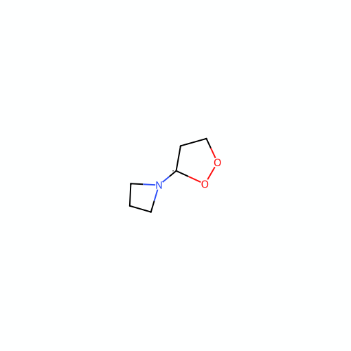 C1CN([C]2CCOO2)C1